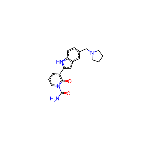 NC(=O)n1c[c]cc(-c2cc3cc(CN4CCCC4)ccc3[nH]2)c1=O